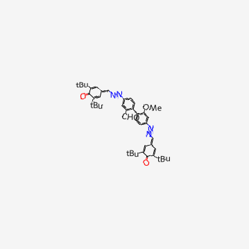 COc1cc(/N=N/C=C2C=C(C(C)(C)C)C(=O)C(C(C)(C)C)=C2)ccc1-c1ccc(/N=N/C=C2C=C(C(C)(C)C)C(=O)C(C(C)(C)C)=C2)cc1C=O